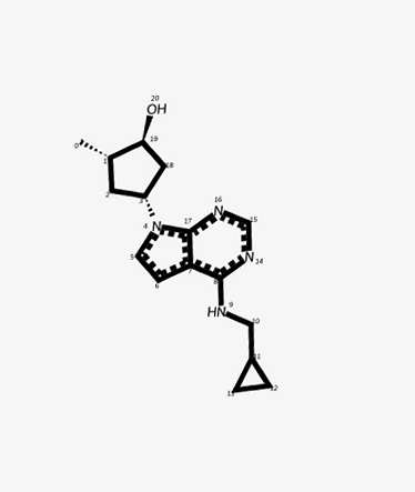 [CH2][C@H]1C[C@@H](n2ccc3c(NCC4CC4)ncnc32)C[C@@H]1O